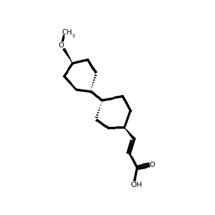 CO[C@H]1CC[C@H]([C@H]2CC[C@H](C=CC(=O)O)CC2)CC1